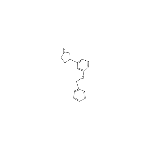 c1ccc(COc2cccc(C3CCNC3)c2)cc1